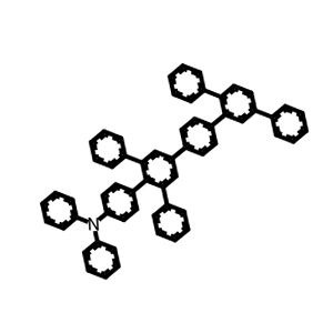 c1ccc(-c2ccc(-c3ccccc3)c(-c3ccc(-c4cc(-c5ccccc5)c(-c5ccc(N(c6ccccc6)c6ccccc6)cc5)c(-c5ccccc5)c4)cc3)c2)cc1